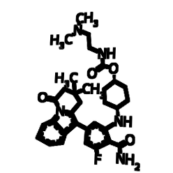 CN(C)CCNC(=O)O[C@H]1CC[C@H](Nc2cc(-c3c4n(c5ccccc35)C(=O)CC(C)(C)C4)cc(F)c2C(N)=O)CC1